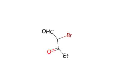 CCC(=O)C(Br)C=O